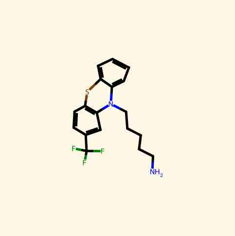 NCCCCCN1c2ccccc2Sc2ccc(C(F)(F)F)cc21